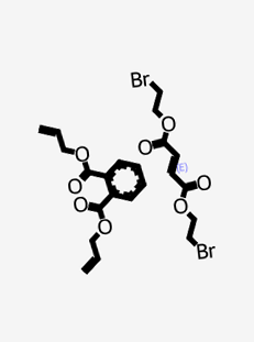 C=CCOC(=O)c1ccccc1C(=O)OCC=C.O=C(/C=C/C(=O)OCCBr)OCCBr